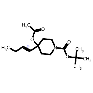 CC/C=C/C1(OC(C)=O)CCN(C(=O)OC(C)(C)C)CC1